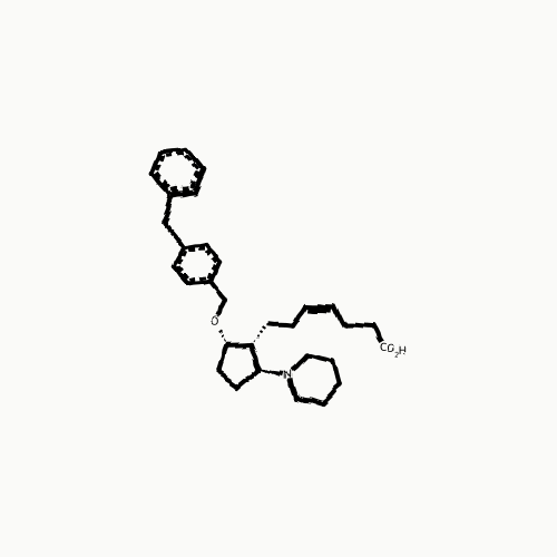 O=C(O)CC/C=C\CC[C@H]1[C@@H](OCc2ccc(Cc3ccccc3)cc2)CC[C@@H]1N1CCCCC1